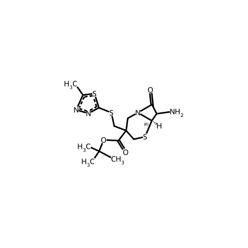 Cc1nnc(SCC2(C(=O)OC(C)(C)C)CS[C@@H]3C(N)C(=O)N3C2)s1